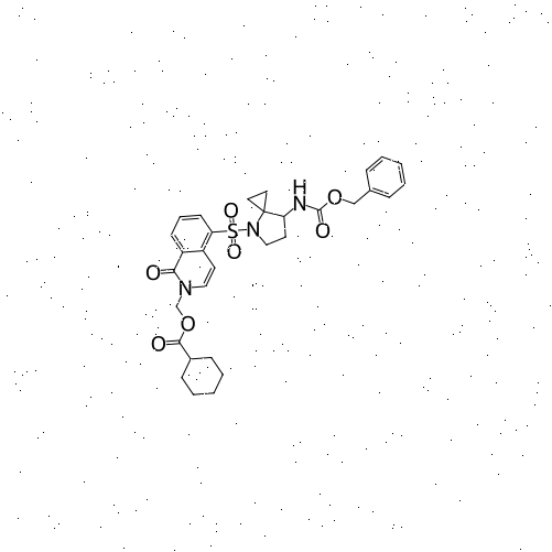 O=C(NC1CCN(S(=O)(=O)c2cccc3c(=O)n(COC(=O)C4CCCCC4)ccc23)C12CC2)OCc1ccccc1